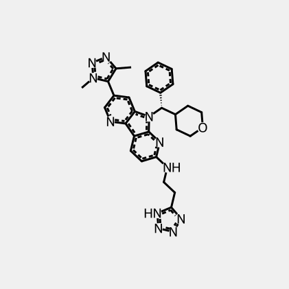 Cc1nnn(C)c1-c1cnc2c3ccc(NCCc4nnn[nH]4)nc3n([C@H](c3ccccc3)C3CCOCC3)c2c1